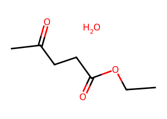 CCOC(=O)CCC(C)=O.O